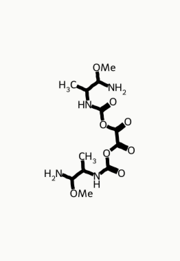 COC(N)C(C)NC(=O)OC(=O)C(=O)OC(=O)NC(C)C(N)OC